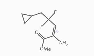 COC(=O)/C(N)=C\C(F)(F)CC1CC1